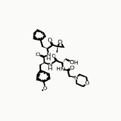 COc1ccc(C[C@H](NC(=O)[C@H](CO)NC(=O)CN2CCOCC2)C(=O)N[C@@H](Cc2ccccc2)C(=O)[C@@]2(C)CO2)cc1